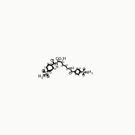 NS(=O)(=O)c1ccc(C(=O)NCCCC[C@H](NC(=O)c2ccc(S(N)(=O)=O)cc2)C(=O)O)cc1